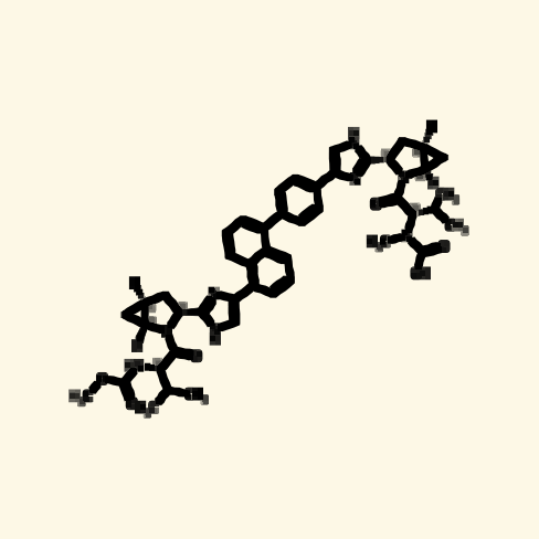 COC(=O)N[C@H](C(=O)N1[C@@H]2C[C@H]2C[C@H]1c1nc(-c2cccc3c(-c4ccc(-c5c[nH]c([C@@H]6C[C@H]7C[C@H]7N6C(=O)[C@H](C(C)C)N(C)C(=O)O)n5)cc4)cccc23)c[nH]1)C(C)C